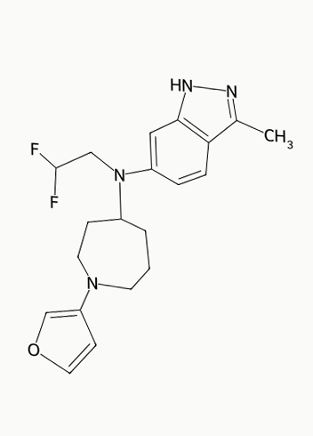 Cc1n[nH]c2cc(N(CC(F)F)C3CCCN(c4ccoc4)CC3)ccc12